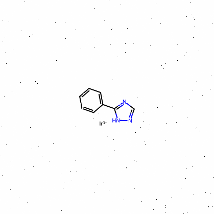 [Ir+3].c1ccc(-c2ncn[nH]2)cc1